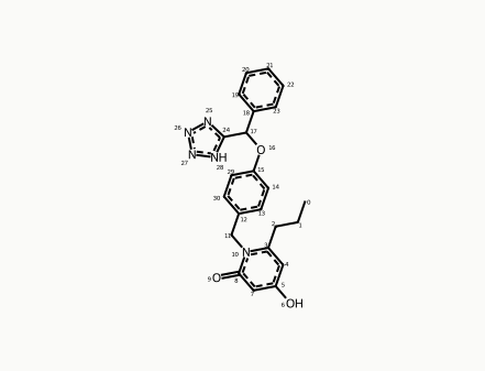 CCCc1cc(O)cc(=O)n1Cc1ccc(OC(c2ccccc2)c2nnn[nH]2)cc1